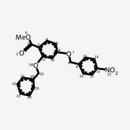 COC(=O)c1ccc(OCc2ccc([N+](=O)[O-])cc2)cc1OCc1ccccc1